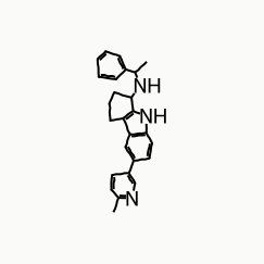 Cc1ccc(-c2ccc3[nH]c4c(c3c2)CCCC4NC(C)c2ccccc2)cn1